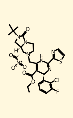 CCOC(=O)C1=C(CN2CCN3C(=O)N(C(C)(C)C)C[C@@H]3[C@H]2C(=O)[N+](=O)[O-])NC(c2nccs2)=N[C@H]1c1cccc(F)c1Cl